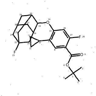 CC(C)(C)OC(=O)c1cc(C2CC2)c(OC2C3CC4CC2CC(F)(C4)C3)cc1F